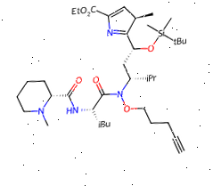 C#CCCCON(C(=O)[C@@H](NC(=O)[C@H]1CCCCN1C)[C@@H](C)CC)[C@H](C[C@@H](O[Si](C)(C)C(C)(C)C)C1=NC(C(=O)OCC)=C[C@H]1C)C(C)C